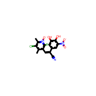 Cc1c(Cl)c(C)[n+]([O-])c(Br)c1/C=C(/C#N)c1cc(O)c(O)c([N+](=O)[O-])c1